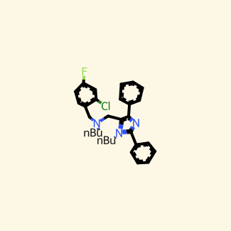 CCCCN(Cc1ccc(F)cc1Cl)Cc1c(-c2ccccc2)nc(-c2ccccc2)n1CCCC